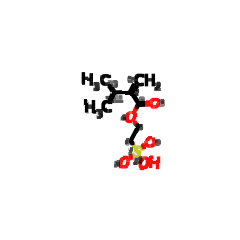 C=C(C(=O)OCCS(=O)(=O)O)C(C)C